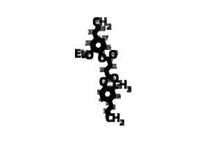 C=CCc1ccc(OC(=O)CCC(=O)Oc2ccc(CC=C)cc2OCC)c(C)c1